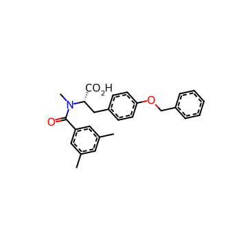 Cc1cc(C)cc(C(=O)N(C)[C@@H](Cc2ccc(OCc3ccccc3)cc2)C(=O)O)c1